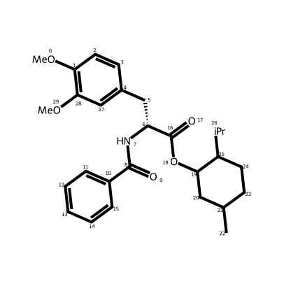 COc1ccc(C[C@@H](NC(=O)c2ccccc2)C(=O)OC2CC(C)CCC2C(C)C)cc1OC